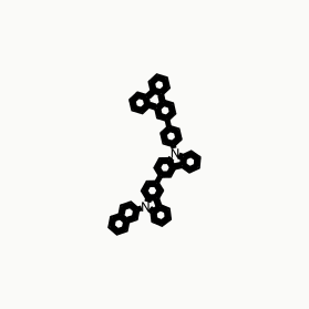 c1ccc2cc(-n3c4ccccc4c4cc(-c5ccc6c(c5)c5ccccc5n6-c5ccc(-c6ccc7c8ccccc8c8ccccc8c7c6)cc5)ccc43)ccc2c1